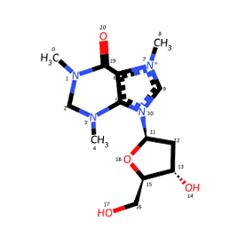 CN1CN(C)c2c([n+](C)cn2[C@H]2C[C@H](O)[C@@H](CO)O2)C1=O